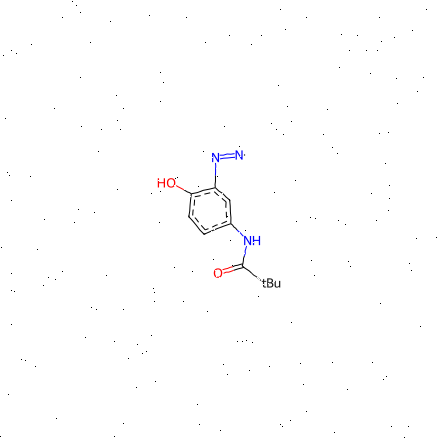 CC(C)(C)C(=O)Nc1ccc(O)c(N=[N])c1